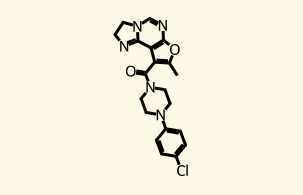 Cc1oc2c(c1C(=O)N1CCN(c3ccc(Cl)cc3)CC1)C1=NCCN1C=N2